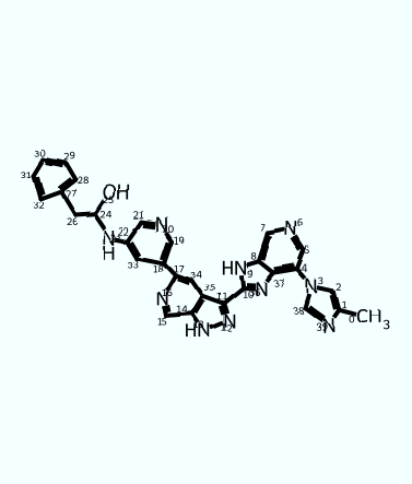 Cc1cn(-c2cncc3[nH]c(-c4n[nH]c5cnc(-c6cncc(NC(O)Cc7ccccc7)c6)cc45)nc23)cn1